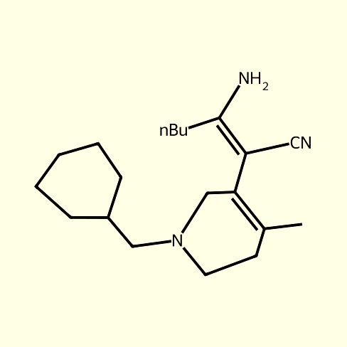 CCCC/C(N)=C(/C#N)C1=C(C)CCN(CC2CCCCC2)C1